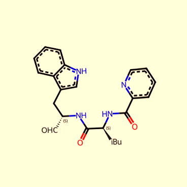 CCC(C)[C@H](NC(=O)c1ccccn1)C(=O)N[C@H](C=O)Cc1c[nH]c2ccccc12